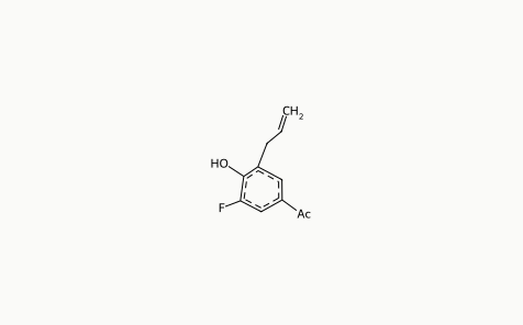 C=CCc1cc(C(C)=O)cc(F)c1O